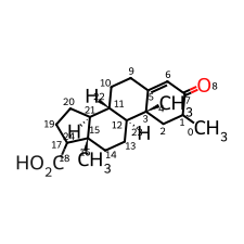 CC1C[C@@]2(C)C(=CC1=O)CC[C@@H]1[C@@H]2CC[C@]2(C)C(C(=O)O)CC[C@@H]12